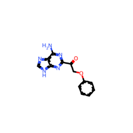 Nc1nc(C(=O)COc2ccccc2)nc2[nH]cnc12